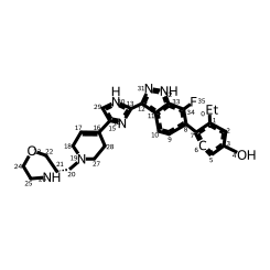 CCc1cc(O)ccc1-c1ccc2c(-c3nc(C4=CCN(C[C@H]5COCCN5)CC4)c[nH]3)n[nH]c2c1F